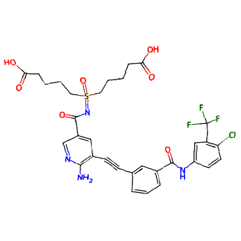 Nc1ncc(C(=O)N=S(=O)(CCCCC(=O)O)CCCCC(=O)O)cc1C#Cc1cccc(C(=O)Nc2ccc(Cl)c(C(F)(F)F)c2)c1